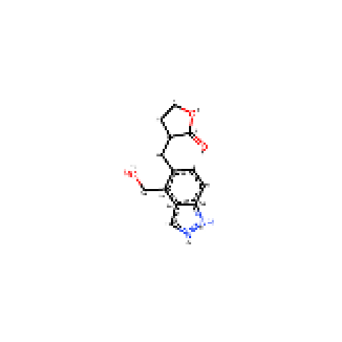 O=C1OCCC1Cc1ccc2[nH]ncc2c1CO